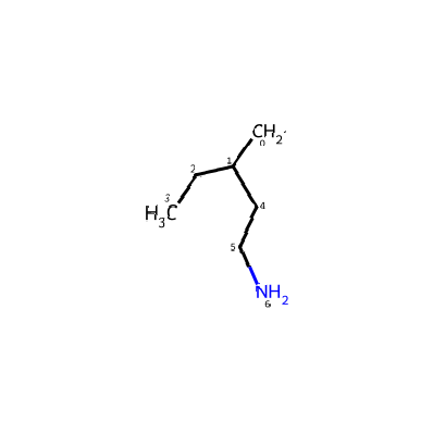 [CH2]C(CC)CCN